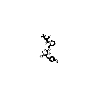 COc1ccc(C[C@H](NC(=O)OCC2CCCCN2C(=O)C(C#N)=CC(C)(C)C)B(O)O)cc1